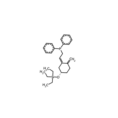 C=C1CC[C@H](O[Si](CC)(CC)CC)C/C1=C/CP(c1ccccc1)c1ccccc1